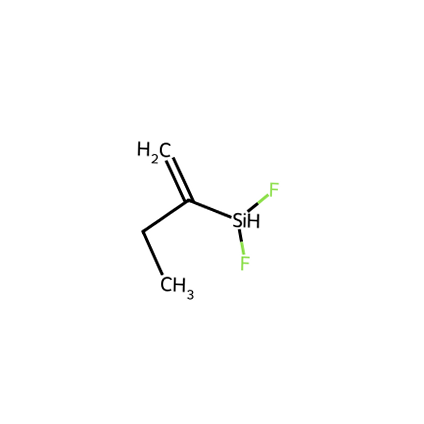 C=C(CC)[SiH](F)F